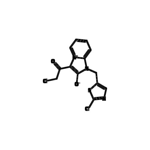 O=C(CCl)c1c([O-])n(Cc2cnc(Cl)s2)c2cccc[n+]12